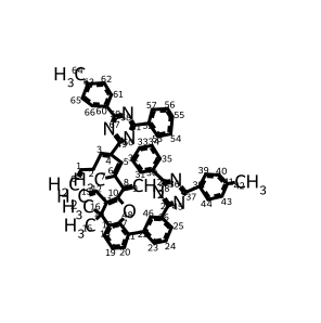 C=CC/C=C(\C=C(/C)C(=C)C1=C(C=C)C(C)(C)c2cccc(-c3cccc(-c4nc(-c5ccccc5)nc(-c5ccc(C)cc5)n4)c3)c2O1)c1nc(-c2ccccc2)nc(-c2ccc(C)cc2)n1